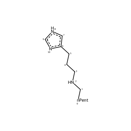 CCCCCCNCCCc1c[nH]cn1